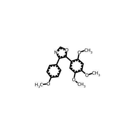 COc1ccc(-c2ncoc2-c2cc(OC)c(OC)cc2OC)cc1